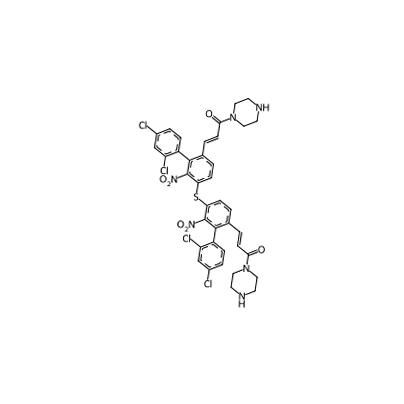 O=C(C=Cc1ccc(Sc2ccc(C=CC(=O)N3CCNCC3)c(-c3ccc(Cl)cc3Cl)c2[N+](=O)[O-])c([N+](=O)[O-])c1-c1ccc(Cl)cc1Cl)N1CCNCC1